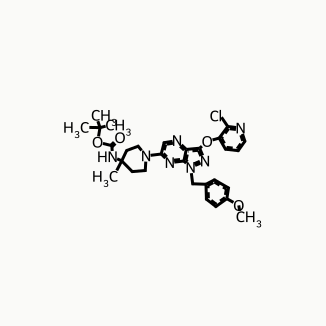 COc1ccc(Cn2nc(Oc3cccnc3Cl)c3ncc(N4CCC(C)(NC(=O)OC(C)(C)C)CC4)nc32)cc1